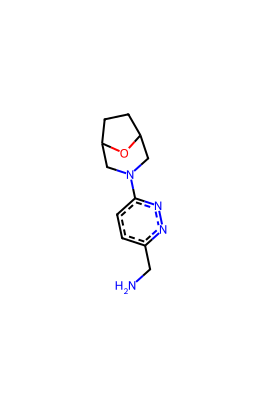 NCc1ccc(N2CC3CCC(C2)O3)nn1